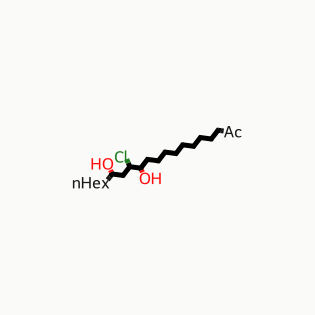 CCCCCCC(O)CC(Cl)C(O)CCCCCCCCCC(C)=O